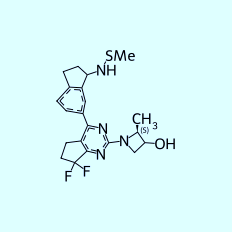 CSNC1CCc2ccc(-c3nc(N4CC(O)[C@@H]4C)nc4c3CCC4(F)F)cc21